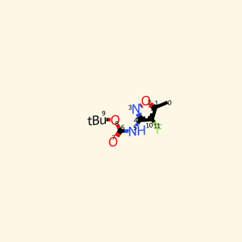 Cc1onc(NC(=O)OC(C)(C)C)c1F